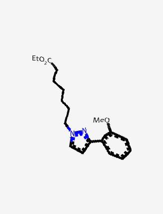 CCOC(=O)CCCCCCn1ccc(-c2ccccc2OC)n1